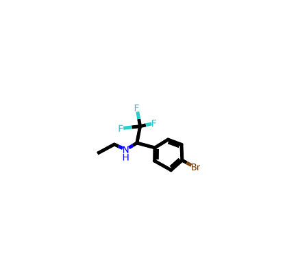 CCNC(c1ccc(Br)cc1)C(F)(F)F